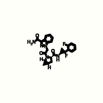 NC(=O)c1nn(CC(=O)N2[C@@H]3C[C@@H]3C[C@H]2C(=O)N[C@H]2C[C@]2(F)c2ccccc2F)c2ccccc12